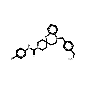 CCc1ccc(CN2CCC3(CCN(C(=O)Nc4ccc(F)cc4)CC3)Oc3ccccc32)cc1